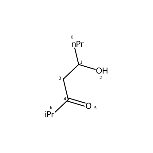 CCCC(O)CC(=O)C(C)C